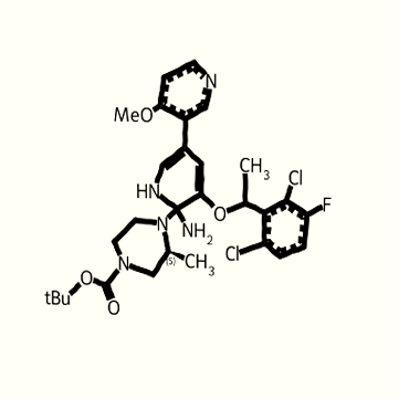 COc1ccncc1C1=CNC(N)(N2CCN(C(=O)OC(C)(C)C)C[C@@H]2C)C(OC(C)c2c(Cl)ccc(F)c2Cl)=C1